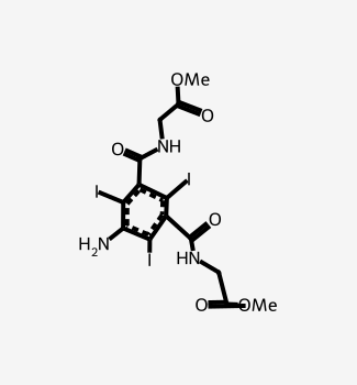 COC(=O)CNC(=O)c1c(I)c(N)c(I)c(C(=O)NCC(=O)OC)c1I